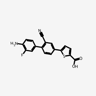 N#Cc1cc(-c2ccc(C(=O)O)s2)ccc1-c1ccc(N)c(F)c1